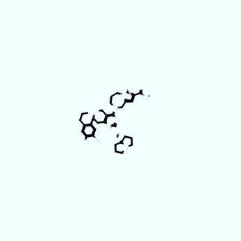 CN(C)C(=O)c1cc2n(n1)CCCN(c1nc(OC[C@@]34CCCN3C[C@H](F)C4)nc3c1CO[C@@]1(CCCc4cc(F)c(N)cc41)C3)C2